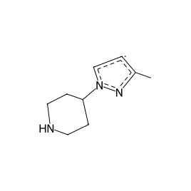 Cc1[c]cn(C2CCNCC2)n1